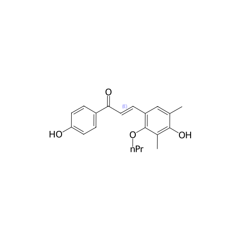 CCCOc1c(/C=C/C(=O)c2ccc(O)cc2)cc(C)c(O)c1C